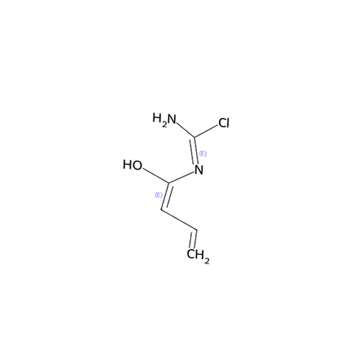 C=C/C=C(O)\N=C(/N)Cl